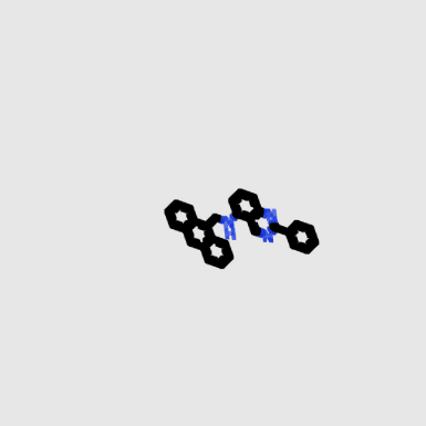 c1ccc(-c2ncc3c(NCc4c5ccccc5cc5ccccc45)cccc3n2)cc1